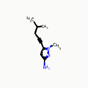 CC(C)CC#Cc1cc(N)nn1C